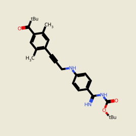 Cc1cc(C(=O)C(C)(C)C)c(C)cc1C#CCNc1ccc(C(=N)NC(=O)OC(C)(C)C)cc1